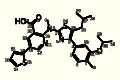 Cc1ccc(-c2nc(N(C)c3ncc(-c4cccs4)cc3C(=O)O)sc2CC(C)C)cc1OC(C)C